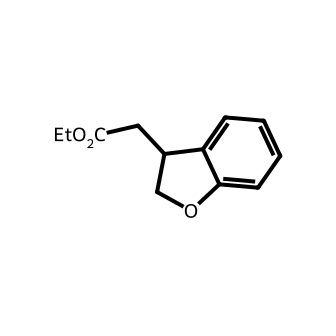 CCOC(=O)CC1COc2ccccc21